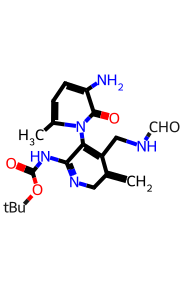 C=C1CN=C(NC(=O)OC(C)(C)C)C(n2c(C)ccc(N)c2=O)=C1CNC=O